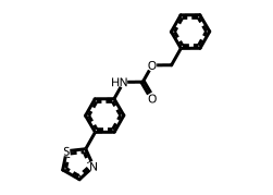 O=C(Nc1ccc(-c2nccs2)cc1)OCc1ccccc1